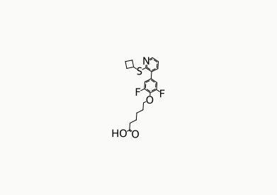 O=C(O)CCCCCOc1c(F)cc(-c2cccnc2SC2CCC2)cc1F